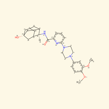 COc1ccc(N2CCN(c3cccc(C(=O)N[C@H]4C5CC6CC4C[C@](O)(C6)C5)n3)CC2)cc1OC